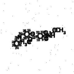 COCCNS(=O)(=O)c1ccc(COc2ccc(CN3Cc4ccccc4C3)cc2OC)cc1